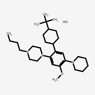 CCCCN1CCN(c2cc(OC)c(N3CCCCC3)cc2C2CCC(C(C)(C)C)CC2)CC1.Cl